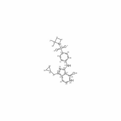 CC1(C)CCN1S(=O)(=O)c1ccc(Nc2nn(CC3CC3)c3cc[nH]c(=O)c23)cc1